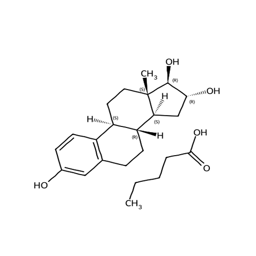 CCCCC(=O)O.C[C@]12CC[C@@H]3c4ccc(O)cc4CC[C@H]3[C@@H]1C[C@@H](O)[C@@H]2O